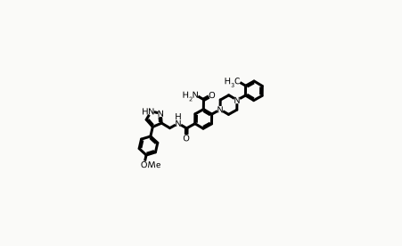 COc1ccc(-c2c[nH]nc2CNC(=O)c2ccc(N3CCN(c4ccccc4C)CC3)c(C(N)=O)c2)cc1